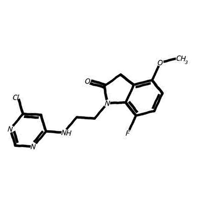 COc1ccc(F)c2c1CC(=O)N2CCNc1cc(Cl)ncn1